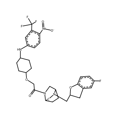 O=C(COC1CCC(Nc2ccc([N+](=O)[O-])c(C(F)(F)F)c2)CC1)N1CC2CCC1CN2CC1Cc2cc(F)ccc2O1